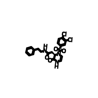 O=C(C[C@@H]1C(=O)NC=CN1S(=O)(=O)c1ccc(Cl)c(Cl)c1)NCCc1ccccc1